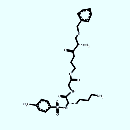 Cc1ccc(S(=O)(=O)N[C@@H](CCCCN)C(=O)NCC(=O)OCCCC(=O)[C@@H](N)CSCc2ccccc2)cc1